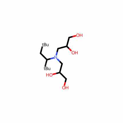 CC(C)(C)CC(N(CC(O)CO)CC(O)CO)C(C)(C)C